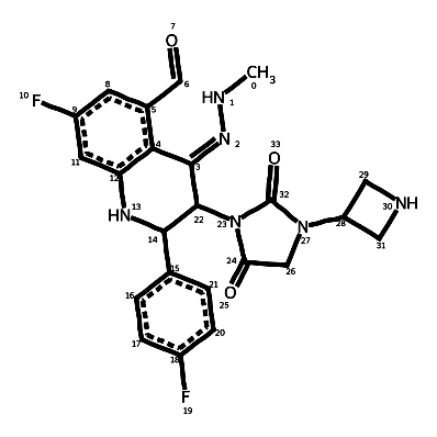 CN/N=C1\c2c(C=O)cc(F)cc2NC(c2ccc(F)cc2)C1N1C(=O)CN(C2CNC2)C1=O